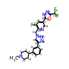 CN1CCC(c2cccc(-c3cn(Cc4ncc(-c5nnc(C(F)F)o5)cc4F)nn3)c2)CC1